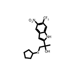 CC(O)(CSC1CCCC1)c1cc2cc([N+](=O)[O-])c(C(F)(F)F)cc2[nH]1